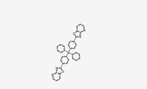 c1ccc([Si](c2ccccc2)(c2ccc(-c3nc4ncccc4o3)cc2)c2ccc(-c3nc4ncccc4o3)cc2)cc1